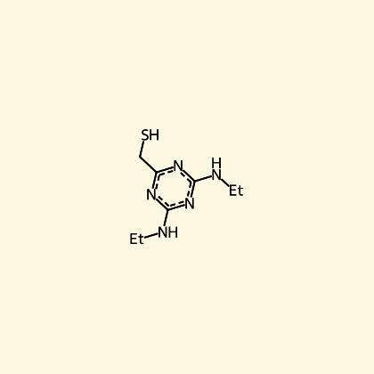 CCNc1nc(CS)nc(NCC)n1